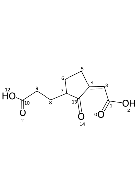 O=C(O)C=C1CCC(CCC(=O)O)C1=O